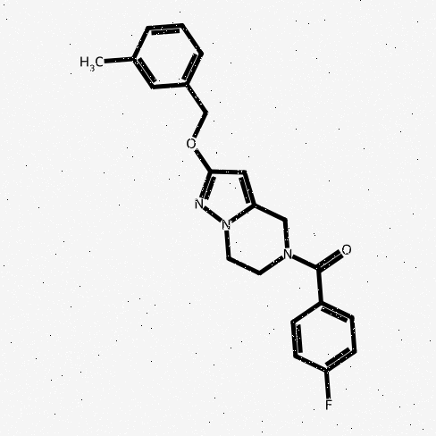 Cc1cccc(COc2cc3n(n2)CCN(C(=O)c2ccc(F)cc2)C3)c1